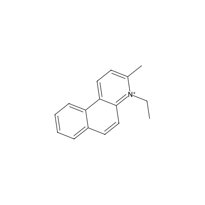 CC[n+]1c(C)ccc2c3ccccc3ccc21